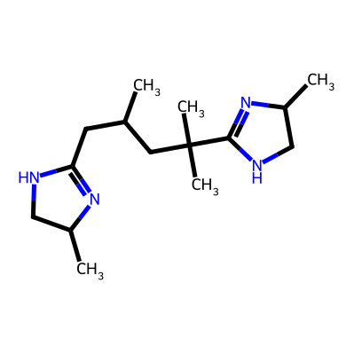 CC(CC1=NC(C)CN1)CC(C)(C)C1=NC(C)CN1